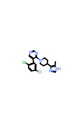 Cc1[nH]cnc1C1CCN(c2ncncc2-c2cc(Cl)ccc2Cl)CC1